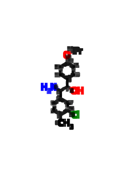 Cc1ccc(C(N)C(O)c2ccc(OC(C)C)cc2)cc1Cl